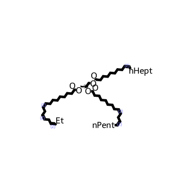 CC/C=C\C/C=C\C/C=C\CCCCCCCC(=O)OC[C@@H](COC(=O)CCCCCCC/C=C\CCCCCCC)OC(=O)CCCCCCC/C=C\C/C=C\CCCCC